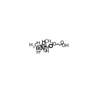 CC(C)CC(NC(=O)CC(C)O)(Nc1ccc(OCCCC(=O)O)cc1)C(N)=O